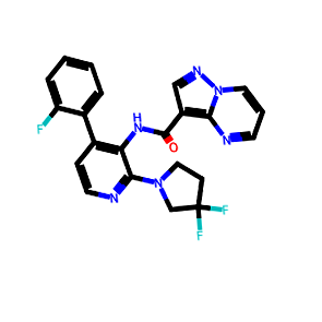 O=C(Nc1c(-c2ccccc2F)ccnc1N1CCC(F)(F)C1)c1cnn2cccnc12